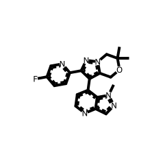 Cn1ncc2nccc(-c3c(-c4ccc(F)cn4)nn4c3COC(C)(C)C4)c21